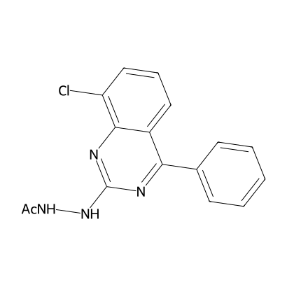 CC(=O)NNc1nc(-c2ccccc2)c2cccc(Cl)c2n1